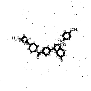 Cc1ccc(S(=O)(=O)n2cc(-c3ccc(C(=O)N4CCC(c5nc(C)c[nH]5)CC4)cc3)c3cc(F)ccc32)cc1